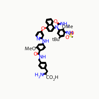 COc1cc(Nc2cc(Oc3ccc(N(C(N)=O)c4cc(C(C)(C)C)cc(NS(C)(=O)=O)c4OC)c4ccccc34)ccn2)ccc1C(=O)NCc1ccc(C[C@H](N)C(=O)O)cc1